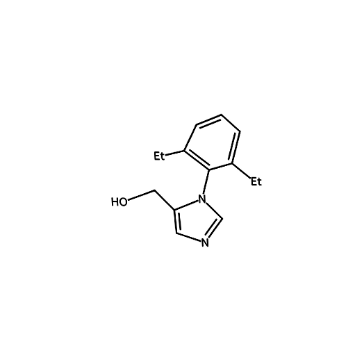 CCc1cccc(CC)c1-n1cncc1CO